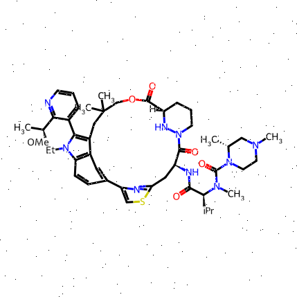 CCn1c(-c2cccnc2[C@H](C)OC)c2c3cc(ccc31)-c1csc(n1)C[C@H](NC(=O)[C@H](C(C)C)N(C)C(=O)N1CCN(C)C[C@H]1C)C(=O)N1CCC[C@H](N1)C(=O)OCC(C)(C)C2